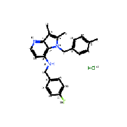 Cc1ccc(Cn2c(C)c(C)c3nccc(NCc4ccc(F)cc4)c32)cc1.Cl